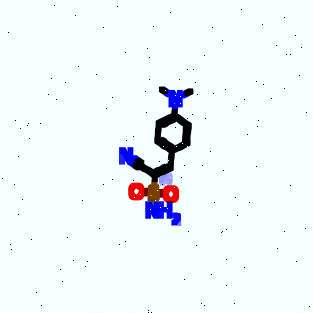 CN(C)c1ccc(/C=C(\C#N)S(N)(=O)=O)cc1